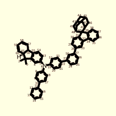 CC1(C)c2cc(N(c3ccc(-c4ccccc4)cc3)c3ccc(-c4cccc(-c5ccc6c(c5)-c5ccccc5C65C6CC7CC(C6)CC5C7)c4)cc3)ccc2C2C=CC=C[C@@H]21